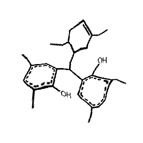 CC1=CCC(C)C(C(c2cc(C)cc(C)c2O)c2cc(C)cc(C)c2O)C1